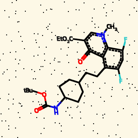 CCOC(=O)c1cn(C)c2c(F)cc(F)c(CCC3CCC(NC(=O)OC(C)(C)C)CC3)c2c1=O